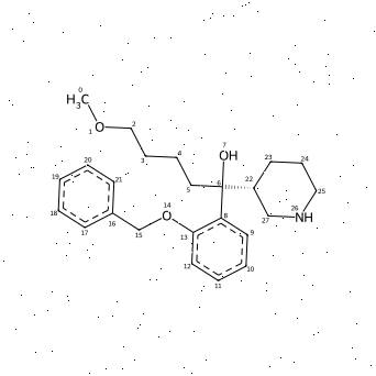 COCCCCC(O)(c1ccccc1OCc1ccccc1)[C@@H]1CCCNC1